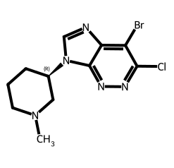 CN1CCC[C@@H](n2cnc3c(Br)c(Cl)nnc32)C1